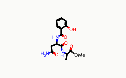 COC(=O)C(C)NC(=O)C(CC(N)=O)NC(=O)c1ccccc1O